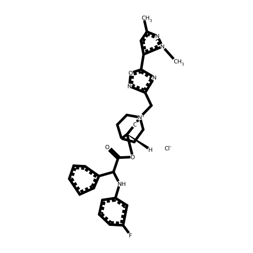 Cc1cc(-c2nc(C[N+]34CCC(CC3)[C@@H](OC(=O)C(Nc3cccc(F)c3)c3ccccc3)C4)no2)n(C)n1.[Cl-]